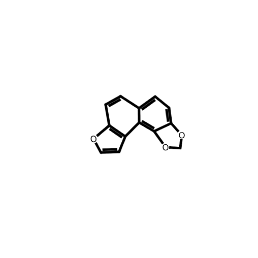 c1cc2c(ccc3ccc4c(c32)OCO4)o1